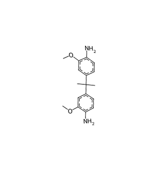 COc1cc(C(C)(C)c2ccc(N)c(OC)c2)ccc1N